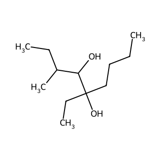 CCCCC(O)(CC)C(O)C(C)CC